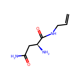 C=CCNC(=O)[C@@H](N)CC(N)=O